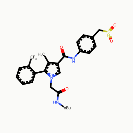 CCCCNC(=O)Cn1cc(C(=O)Nc2ccc(C[SH](=O)=O)cc2)c(C)c1-c1ccccc1C(F)(F)F